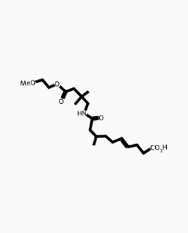 COCCOC(=O)CC(C)(C)CNC(=O)CC(C)CCC=CCCC(=O)O